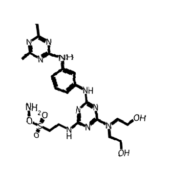 Cc1nc(C)nc(Nc2cccc(Nc3nc(NCCS(=O)(=O)ON)nc(N(CCO)CCO)n3)c2)n1